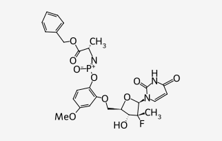 COc1ccc(O/[P+]([O-])=N/[C@@H](C)C(=O)OCc2ccccc2)c(OC[C@H]2O[C@@H](n3ccc(=O)[nH]c3=O)[C@](C)(F)[C@@H]2O)c1